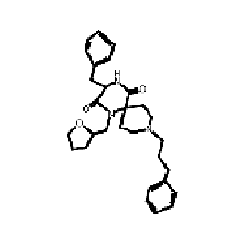 O=C1C(Cc2ccccc2)NC(=O)C2(CCN(CCCc3ccccc3)CC2)N1CC1CCCO1